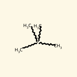 CCCCCCCCCCC[PH](CCCCCCCCCC)(CCCCCCCCCCC)CCCCCCCCCCC